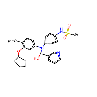 CCCS(=O)(=O)Nc1ccc(N(c2ccc(OC)c(OC3CCCC3)c2)C(O)c2cccnc2)cc1